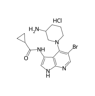 Cl.NC1CCCN(c2c(Br)cnc3[nH]cc(NC(=O)C4CC4)c23)C1